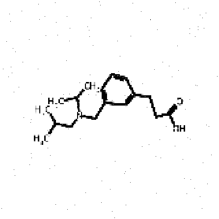 CC(C)CN(Cc1cccc(CCC(=O)O)c1)C(C)C